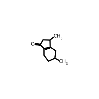 CC1CCC2=C(C1)C(C)CC2=O